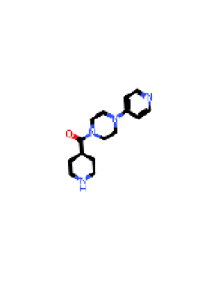 O=C(C1[CH]CNCC1)N1CCN(c2ccncc2)CC1